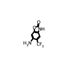 Nc1cc2oc(=O)[nH]c2cc1C(F)(F)F